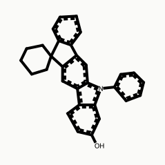 Oc1ccc2c3cc4c(cc3n(-c3ccccc3)c2c1)-c1ccccc1C41CCCCC1